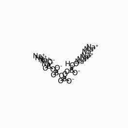 O.[Na+].[Na+].[Na+].[Na+].[Na+].[Na+].[Na+].[Na+].[Na+].[Na+].[Na+].[Na+].[O-]B([O-])[O-].[O-]B([O-])[O-].[O-]B([O-])[O-].[O-]B([O-])[O-]